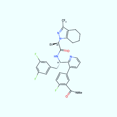 CC[C@H](C(=O)N[C@@H](Cc1cc(F)cc(F)c1)c1ncccc1-c1ccc(F)c(C(=O)NC)c1)n1nc(C(F)(F)F)c2c1CCCC2